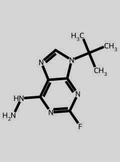 CC(C)(C)n1cnc2c(NN)nc(F)nc21